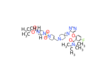 CC(C)N(C(=O)c1cc(F)ccc1Oc1cncnc1N1CC2(CCN(CC3=CCN(S(=O)(=O)N4C[C@@H]5C[C@H]4CN5C(=O)OC(C)(C)C)CC3)CC2)C1)C(C)C